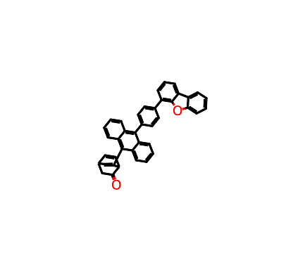 O=C1CC2C=CC1C(c1c3ccccc3c(-c3ccc(-c4cccc5c4oc4ccccc45)cc3)c3ccccc13)=C2